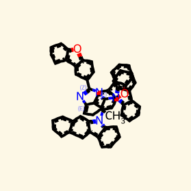 CC1C/C=C(c2cc3c(cc2-n2c4ccccc4c4cc5ccccc5cc42)oc2ccccc23)/N=C(c2ccc3oc4ccccc4c3c2)\N=C/1n1c2ccccc2c2ccccc21